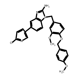 COc1ccc(COc2ccc(Cn3c(N)nc4cc(-c5ccc(Cl)nc5)ccc43)cc2OC)cc1